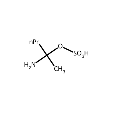 CCCC(C)(N)OS(=O)(=O)O